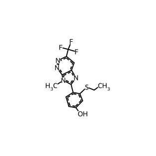 CCSc1cc(O)ccc1-c1nc2cc(C(F)(F)F)nnc2n1C